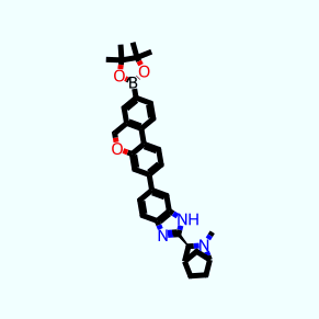 CN1C2CCC(C2)[C@H]1c1nc2ccc(-c3ccc4c(c3)OCc3cc(B5OC(C)(C)C(C)(C)O5)ccc3-4)cc2[nH]1